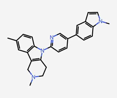 Cc1ccc2c(c1)c1c(n2-c2ccc(-c3ccc4c(ccn4C)c3)cn2)CCN(C)C1